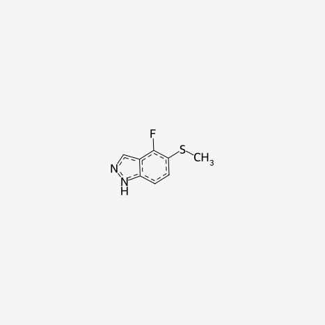 CSc1ccc2[nH]ncc2c1F